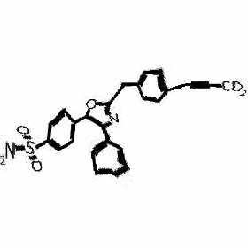 NS(=O)(=O)c1ccc(-c2oc(Cc3ccc(C#CC(=O)O)cc3)nc2-c2ccccc2)cc1